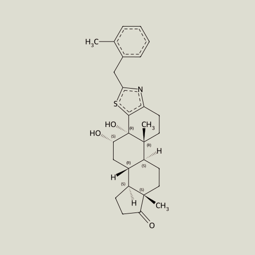 Cc1ccccc1Cc1nc2c(s1)[C@]1(O)[C@@H](O)C[C@H]3[C@@H]4CCC(=O)[C@@]4(C)CC[C@@H]3[C@@]1(C)CC2